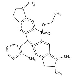 CCOP1(=O)c2cc3c(cc2C(c2ccccc2C)=c2cc4c(cc21)=[N+](C)C(C)C4)CCN3C